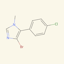 Cn1cnc(Br)c1-c1ccc(Cl)cc1